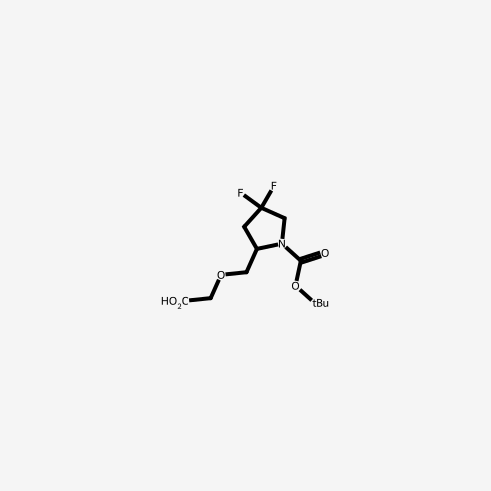 CC(C)(C)OC(=O)N1CC(F)(F)CC1COCC(=O)O